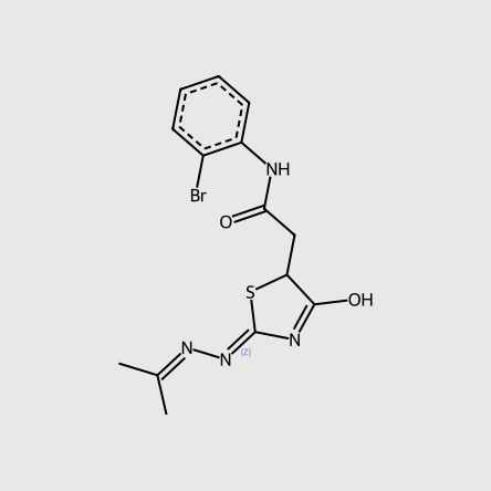 CC(C)=N/N=C1/N=C(O)C(CC(=O)Nc2ccccc2Br)S1